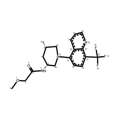 COCC(=O)N[C@@H]1C[C@H](C)CN(c2ccc(C(F)(F)F)c3ncccc23)C1